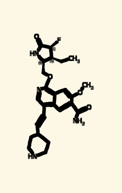 CC[C@@H]1[C@H](F)C(=O)N[C@@H]1COc1ncc(C#CC2CCNCC2)c2cc(C(N)=O)c(OC)cc12